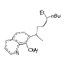 CCCCC(CC)CCC(C)c1ccc2cccnc2c1O